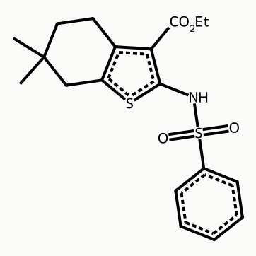 CCOC(=O)c1c(NS(=O)(=O)c2ccccc2)sc2c1CCC(C)(C)C2